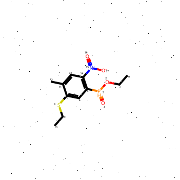 CCO[PH](=O)c1cc(SCC)c(C)cc1[N+](=O)[O-]